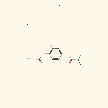 CC(C)C(=O)Oc1ccc(OC(=O)C(C)(C)C)c(O)c1